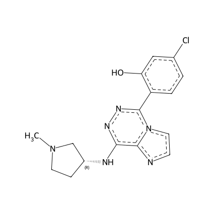 CN1CC[C@@H](Nc2nnc(-c3ccc(Cl)cc3O)n3ccnc23)C1